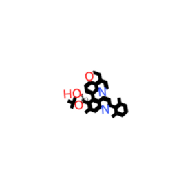 Cc1cccc(C)c1-c1ccc2c(-c3ccc4c5c(ccnc35)CCO4)c([C@@H](CO)OC(C)(C)C)c(C)cc2n1